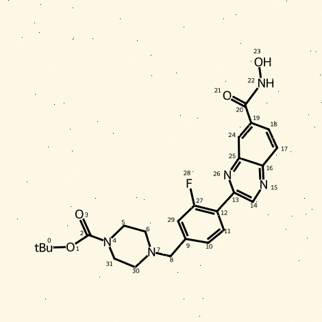 CC(C)(C)OC(=O)N1CCN(Cc2ccc(-c3cnc4ccc(C(=O)NO)cc4n3)c(F)c2)CC1